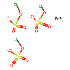 O=S(=O)([O-])OCl.O=S(=O)([O-])OCl.O=S(=O)([O-])OCl.[Fe+3]